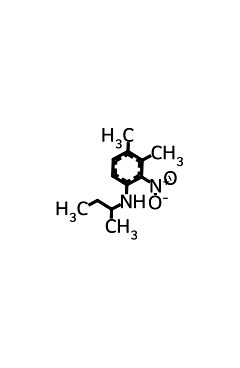 CCC(C)Nc1ccc(C)c(C)c1[N+](=O)[O-]